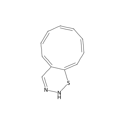 C1=NNSc2ccccccccc21